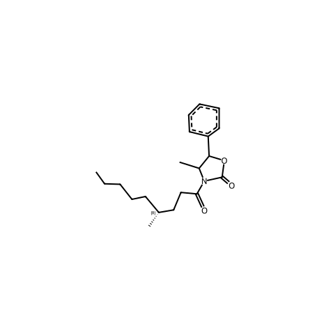 CCCCC[C@@H](C)CCC(=O)N1C(=O)OC(c2ccccc2)C1C